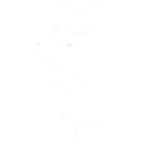 Cc1noc(-c2ccc3c(ccc4cc(C5(C(=O)O)CC5)ccc43)c2)c1NC(=O)OC(C)c1ccccc1